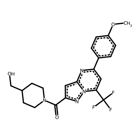 COc1ccc(-c2cc(C(F)(F)F)n3nc(C(=O)N4CCC(CO)CC4)cc3n2)cc1